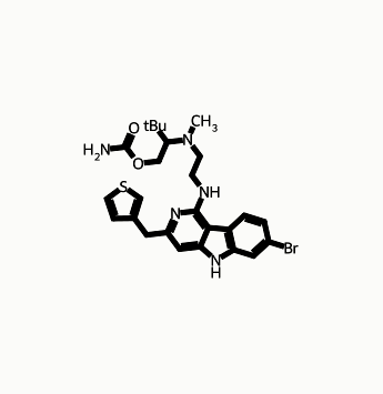 CN(CCNc1nc(Cc2ccsc2)cc2[nH]c3cc(Br)ccc3c12)C(COC(N)=O)C(C)(C)C